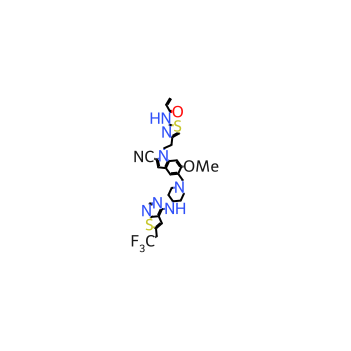 C=CC(=O)Nc1nc(CCn2c(C#N)cc3cc(CN4CCC(Nc5ncnc6sc(CC(F)(F)F)cc56)CC4)c(OC)cc32)cs1